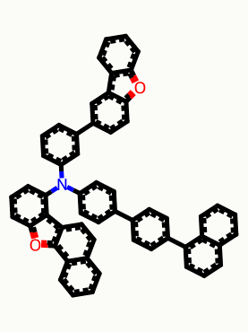 c1cc(-c2ccc3oc4ccccc4c3c2)cc(N(c2ccc(-c3ccc(-c4cccc5ccccc45)cc3)cc2)c2cccc3oc4c5ccccc5ccc4c23)c1